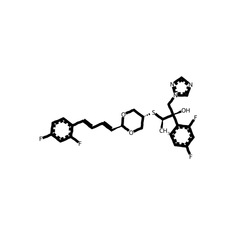 C[C@@H](S[C@H]1CO[C@H](C=CC=Cc2ccc(F)cc2F)OC1)[C@](O)(Cn1cncn1)c1ccc(F)cc1F